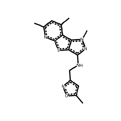 Cc1cc(C)c2c(n1)sc1c(NCc3cc(C)on3)nn(C)c12